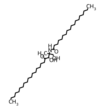 CCCCCCCCCCCCCCCCCC(=O)NC(C)(CO)C(O)C(=O)CCCCCCCCCCCCCCCCC